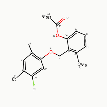 CCc1cc(C)c(OCc2c(OC)cccc2OC(=O)OC)cc1F